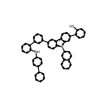 Sc1ccccc1-c1ccc2c3cc(-c4cccc(-c5ccccc5Nc5ccc(-c6ccccc6)cc5)c4)ccc3n(-c3ccc4ccccc4c3)c2c1